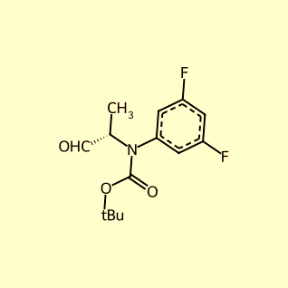 C[C@@H](C=O)N(C(=O)OC(C)(C)C)c1cc(F)cc(F)c1